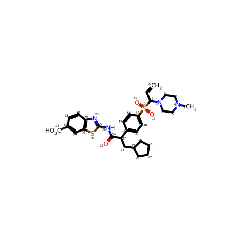 C=CC(N1CCN(C)CC1)S(=O)(=O)c1ccc(C(CC2CCCC2)C(=O)Nc2nc3ccc(C(=O)O)cc3s2)cc1